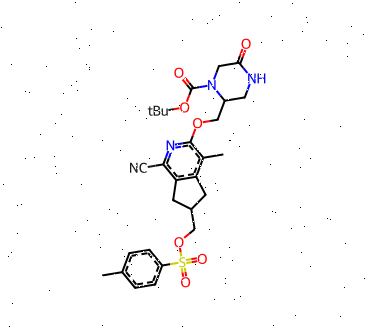 Cc1ccc(S(=O)(=O)OCC2Cc3c(C#N)nc(OCC4CNC(=O)CN4C(=O)OC(C)(C)C)c(C)c3C2)cc1